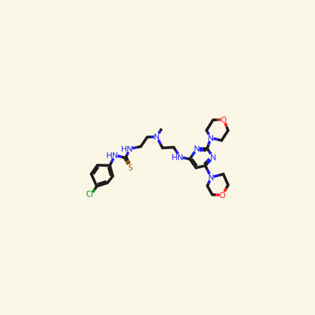 CN(CCNC(=S)Nc1ccc(Cl)cc1)CCNc1cc(N2CCOCC2)nc(N2CCOCC2)n1